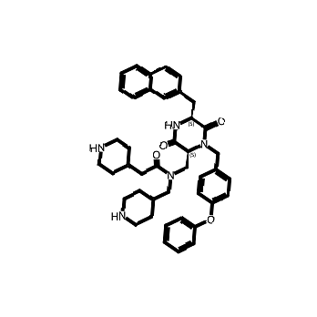 O=C1N[C@@H](Cc2ccc3ccccc3c2)C(=O)N(Cc2ccc(Oc3ccccc3)cc2)[C@H]1CN(CC1CCNCC1)C(=O)CC1CCNCC1